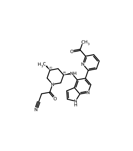 CC(=O)c1cccc(-c2cnc3[nH]ccc3c2N[C@@H]2C[C@H](C)CN(C(=O)CC#N)C2)n1